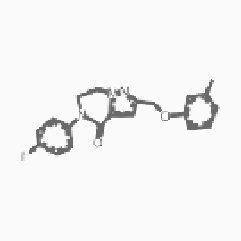 Cc1cccc(OCc2cc3n(n2)CCN(c2ccc(F)cc2)C3=O)c1